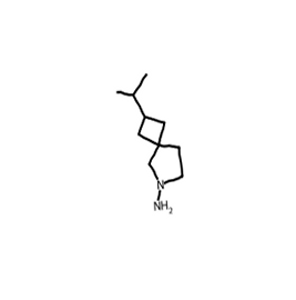 CC(C)C1CC2(CCN(N)C2)C1